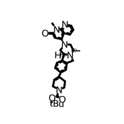 C[C@@H]1CN(c2cc(=O)n(C)c3ncccc23)C[C@@H]2c3ccc(C4=CCN(C(=O)OC(C)(C)C)CC4)cc3CN12